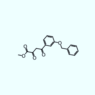 COC(=O)C(=O)CC(=O)c1cccc(OCc2ccccc2)c1